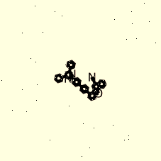 N#Cc1cc2c(oc3cccc(-c4ccc(-c5ccc(C6=NC(c7ccccc7)CC(C7=CCCC=C7)=N6)cc5)cc4)c32)c2ccccc12